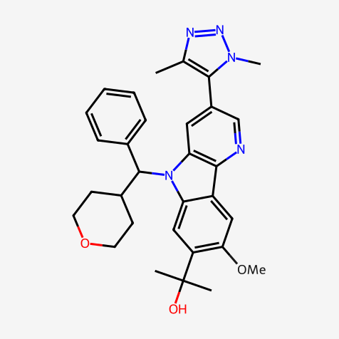 COc1cc2c3ncc(-c4c(C)nnn4C)cc3n(C(c3ccccc3)C3CCOCC3)c2cc1C(C)(C)O